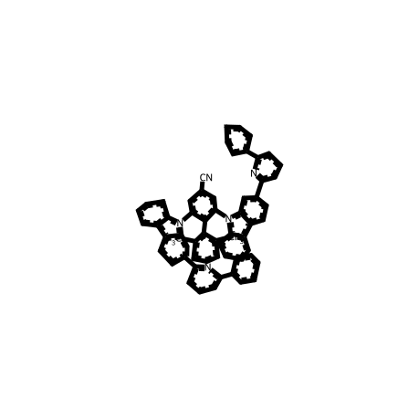 N#Cc1cc(-n2c3ccccc3c3ccc(-c4cccc(-c5ccccc5)n4)cc32)c(-c2c(C(F)(F)F)cccc2C(F)(F)F)c(-n2c3ccccc3c3ccc(-c4cccc(-c5ccccc5)n4)cc32)c1